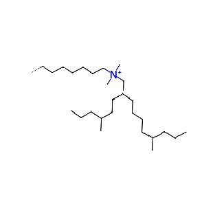 CCCCCCCC[N+](C)(C)CC(CCCCC(C)CCC)CCC(C)CCC